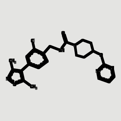 Cc1noc(C)c1-c1ccc(CNC(=O)N2CCC(Oc3ncccn3)CC2)c(Cl)c1